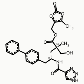 Cc1oc(=O)oc1COC(=O)[C@](C)(CO)C[C@@H](Cc1ccc(-c2ccccc2)cc1)NC(=O)c1c[nH]nn1